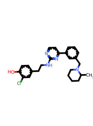 CC1CCCCN1Cc1cccc(-c2ccnc(NCCc3ccc(O)c(Cl)c3)n2)c1